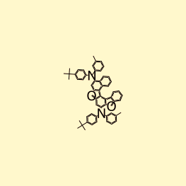 Cc1cccc(N(c2ccc(C(C)(C)C)cc2)c2cc3oc4cc(N(c5ccc(C(C)(C)C)cc5)c5cccc(C)c5)c5oc6ccccc6c5c4c3c3ccccc23)c1